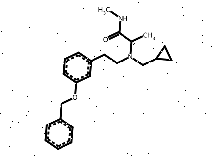 CNC(=O)C(C)N(CCc1cccc(OCc2ccccc2)c1)CC1CC1